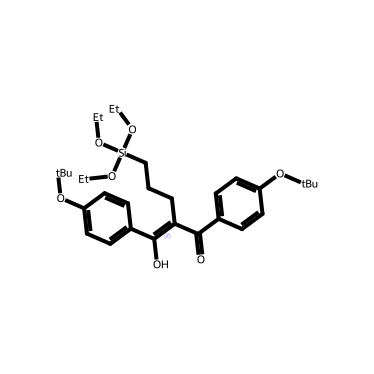 CCO[Si](CCC/C(C(=O)c1ccc(OC(C)(C)C)cc1)=C(/O)c1ccc(OC(C)(C)C)cc1)(OCC)OCC